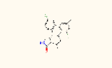 Cc1ccc(C2CC(C)C3C(=O)NCC3C2c2ccc(Cl)cc2)c(Cl)c1